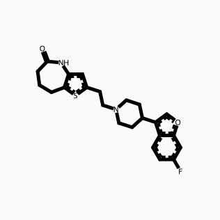 O=C1CCCc2sc(CCN3CCC(c4coc5cc(F)ccc45)CC3)cc2N1